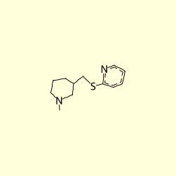 CN1CCCC(CSc2ccccn2)C1